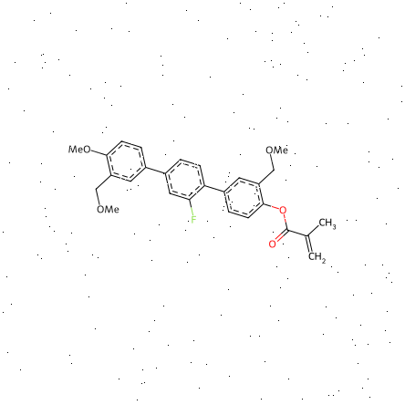 C=C(C)C(=O)Oc1ccc(-c2ccc(-c3ccc(OC)c(COC)c3)cc2F)cc1COC